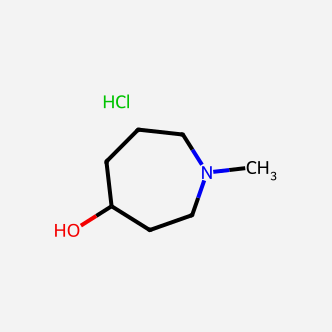 CN1CCCC(O)CC1.Cl